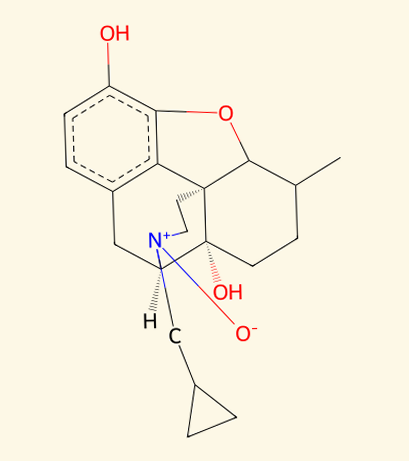 CC1CC[C@@]2(O)[C@H]3Cc4ccc(O)c5c4[C@@]2(CC[N+]3([O-])CC2CC2)C1O5